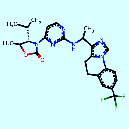 CC(Nc1nccc(N2C(=O)OC(C)[C@@H]2C(C)C)n1)c1ncn2c1CCc1cc(C(F)(F)F)ccc1-2